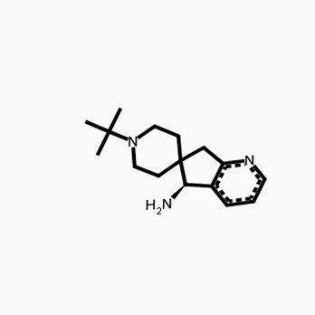 CC(C)(C)N1CCC2(CC1)Cc1ncccc1[C@H]2N